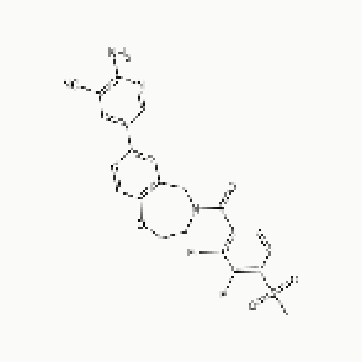 CCc1c(C(=O)N2CCOc3ccc(-c4cnc(N)c(C#N)c4)cc3C2)ccc(S(C)(=O)=O)c1F